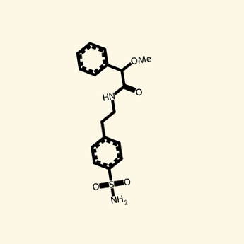 COC(C(=O)NCCc1ccc(S(N)(=O)=O)cc1)c1ccccc1